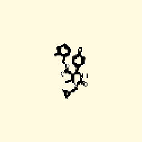 CC1=C(C(=O)OCc2ccccc2C)C(c2ccc(Cl)cc2)NC(=O)N1CC1CC1